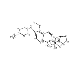 CC[C@@H](c1ccc2c(CF)c(O[C@H]3CC[C@@H](C)CC3)ccc2c1)N1C2CCC1CC(C(=O)O)C2